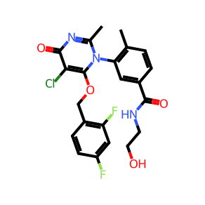 Cc1ccc(C(=O)NCCO)cc1-n1c(C)nc(=O)c(Cl)c1OCc1ccc(F)cc1F